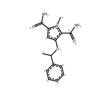 CC(Oc1cc(C(N)=O)n(C)c1C(N)=O)c1ccccc1